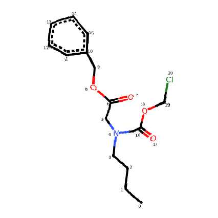 CCCCN(CC(=O)OCc1ccccc1)C(=O)OCCl